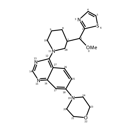 COC(c1nccs1)C1CCCN(c2ncnc3cc(N4CCOCC4)ccc23)C1